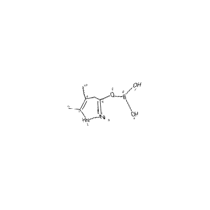 Cc1[nH]nc(OB(O)O)c1C